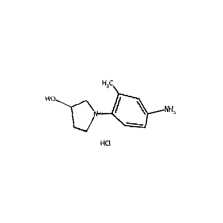 Cc1cc(N)ccc1N1CCC(O)C1.Cl